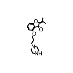 CC(C)=C1Oc2cccc(OCCCN3CCNCC3)c2C1=O